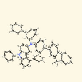 CC1(C)c2ccccc2-c2ccc(-c3ccc(N(c4cccc(-c5ccccc5)c4)c4ccc5c(c4)c4c(-c6ccccc6)cccc4n5-c4ccccc4)cc3)cc21